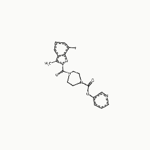 Cc1c(C(=O)N2CCN(C(=O)Oc3cccnc3)CC2)sc2c(F)cccc12